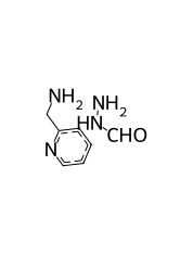 NCc1ccccn1.NNC=O